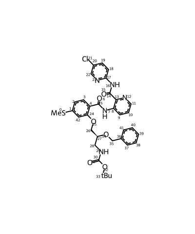 CSc1ccc(C(=O)Nc2cccnc2C(=O)Nc2ccc(Cl)cn2)c(OC[C@H](CNC(=O)OC(C)(C)C)OCc2ccccc2)c1